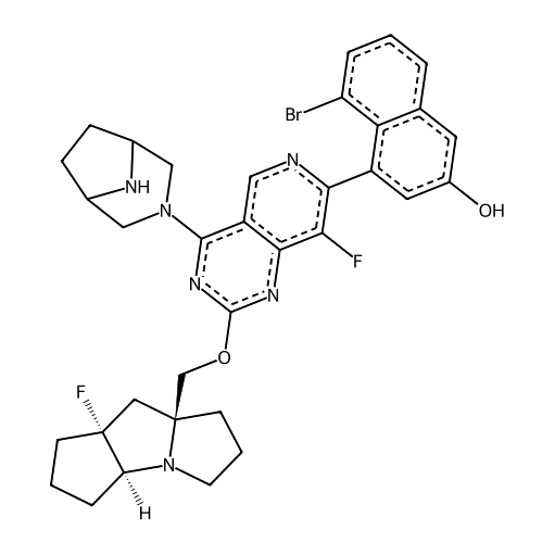 Oc1cc(-c2ncc3c(N4CC5CCC(C4)N5)nc(OC[C@@]45CCCN4[C@H]4CCC[C@@]4(F)C5)nc3c2F)c2c(Br)cccc2c1